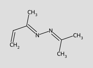 C=CC(C)=NN=C(C)C